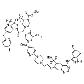 CC1CN(C(=O)c2cnc(N3CCN(CCOc4cc5ncnc(Nc6n[nH]c7ccc(F)cc67)c5cc4S(=O)(=O)C(C)(C)C)CC3)nc2)CCN1C[C@H]1CN(C(=O)OC(C)(C)C)[C@H](C)CN1CC(=O)N1CC(C)(C)c2ncc(Cc3ccc(F)cc3)cc21